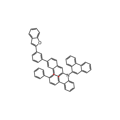 c1ccc(-c2ccc(-c3ccccc3N(c3ccc4cc(-c5cccc(-c6cc7ccccc7o6)c5)ccc4c3)c3cc4ccccc4c4ccccc34)cc2)cc1